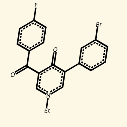 CCn1cc(C(=O)c2ccc(F)cc2)c(=O)c(-c2cccc(Br)c2)c1